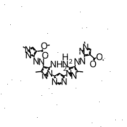 COC(=O)c1cn(C)nc1/N=N/c1c(C)nn(-c2cc(-n3nc(C)c(/N=N/c4nn(C)cc4C(=O)OC)c3N)ncn2)c1N